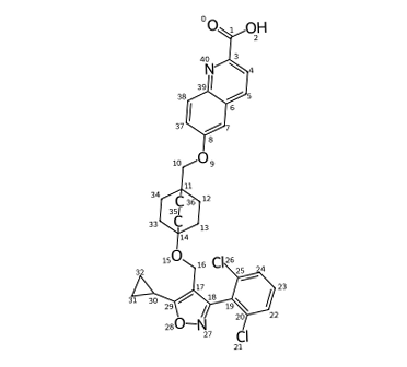 O=C(O)c1ccc2cc(OCC34CCC(OCc5c(-c6c(Cl)cccc6Cl)noc5C5CC5)(CC3)CC4)ccc2n1